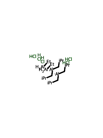 CC(C)[CH2][Al][CH2]C(C)C.CC(C)[CH2][Al][CH2]C(C)C.C[CH2][AlH2].C[CH2][AlH2].Cl.Cl.Cl.Cl.Cl